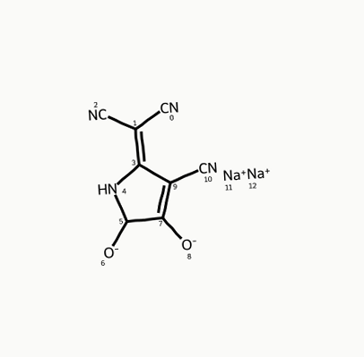 N#CC(C#N)=C1NC([O-])C([O-])=C1C#N.[Na+].[Na+]